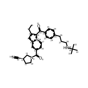 CCc1cc2cc(C(=O)N3CC[C@@H](C#N)C3)ccn2c1C(=O)c1ccc(CCCNC(C)(C)C)cc1